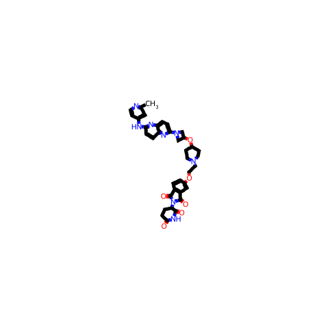 Cc1cc(Nc2ccc3nc(N4CC(OC5CCN(CCOc6ccc7c(c6)C(=O)N(C6CCC(=O)NC6=O)C7=O)CC5)C4)ccc3n2)ccn1